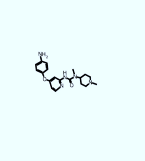 CN1CCC(N(C)C(=O)Nc2cc(Oc3ccc(N)cc3)ccn2)CC1